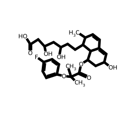 CC1C=CC2=CC(O)CC(OC(=O)C(C)(C)Oc3ccc(F)cc3)C2C1CCC(O)CC(O)CC(=O)O